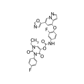 CCn1cc(OC(=O)Nc2ccc(Oc3cc(-c4cnco4)cn4nccc34)c(F)c2)c(=O)n(-c2ccc(F)cc2)c1=O